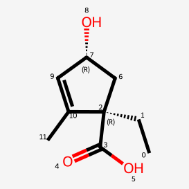 CC[C@@]1(C(=O)O)C[C@@H](O)C=C1C